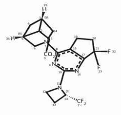 O=C(O)CC1[C@@H]2C[C@H]1CN(c1nc(N3CC[C@H]3C(F)(F)F)nc3c1CCC3(F)F)C2